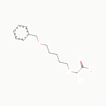 C[C@H](OCCCCCOCc1ccccc1)C(=O)O